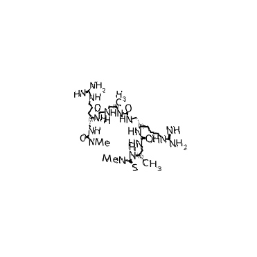 CNC(=O)NC[C@H](CCCNC(=N)N)NC(=O)NC[C@H](C)NC(=O)NC[C@H](CCCNC(=N)N)NC(=O)NC[C@H](C)NC(=S)NC